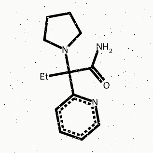 CCC(C(N)=O)(c1ccccn1)N1CCCC1